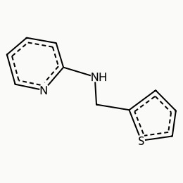 c1ccc(NCc2cccs2)nc1